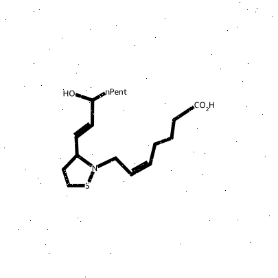 CCCCCC(O)/C=C/C1CCSN1C/C=C\CCCC(=O)O